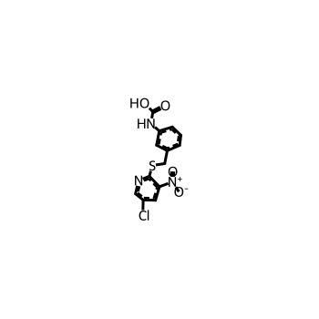 O=C(O)Nc1cccc(CSc2ncc(Cl)cc2[N+](=O)[O-])c1